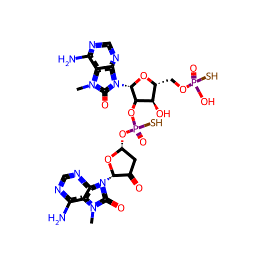 Cn1c(=O)n([C@@H]2O[C@H](OP(=O)(S)OC3[C@H](n4c(=O)n(C)c5c(N)ncnc54)O[C@H](COP(=O)(O)S)[C@H]3O)CC2=O)c2ncnc(N)c21